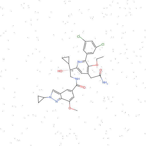 CCOc1c(CC(N)=O)cc([C@@](O)(CNC(=O)c2cc(OC)c3nn(C4CC4)cc3c2)C2CC2)nc1-c1cc(Cl)cc(Cl)c1